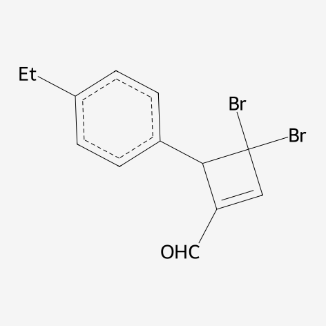 CCc1ccc(C2C(C=O)=CC2(Br)Br)cc1